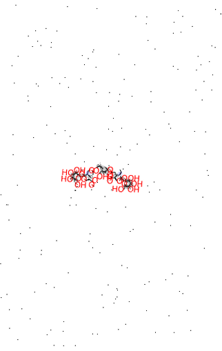 C/C=C1/[C@H](O[C@@H]2O[C@H](CO)[C@@H](O)[C@H](O)[C@H]2O)OC=C(C(=O)OC)[C@H]1CC(=O)OC[C@H](C)[C@@H]1C[C@H](OC(=O)C[C@@H]2C(C(=O)OC)=CO[C@@H](O[C@@H]3O[C@H](CO)[C@@H](O)[C@H](O)[C@H]3O)/C2=C/C)[C@H](C)[C@H]1CO